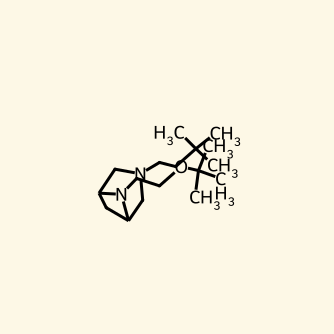 CC(C)(C)CCN1CC2CC(C1)N2CCOC(C)(C)C